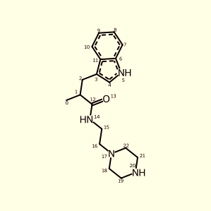 CC(Cc1c[nH]c2ccccc12)C(=O)NCCN1CCNCC1